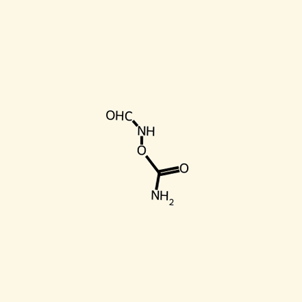 NC(=O)ONC=O